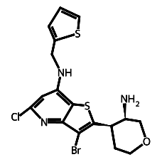 N[C@H]1COCC[C@H]1c1sc2c(NCc3cccs3)cc(Cl)nc2c1Br